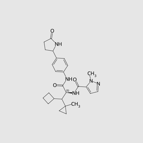 Cn1nccc1C(=O)N[C@H](C(=O)Nc1ccc(C2CCC(=O)N2)cc1)C(C1CCC1)C1(C)CC1